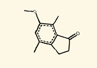 COc1cc(C)c2c(c1C)C(=O)CC2